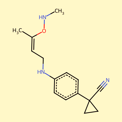 CNO/C(C)=C\CNc1ccc(C2(C#N)CC2)cc1